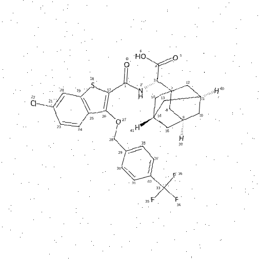 O=C(N[C@H](C(=O)O)C12C[C@H]3C[C@H](C1)C[C@@H](C2)C3)c1sc2cc(Cl)ccc2c1OCc1ccc(C(F)(F)F)cc1